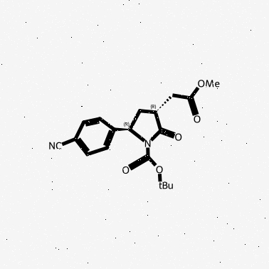 COC(=O)C[C@H]1C[C@H](c2ccc(C#N)cc2)N(C(=O)OC(C)(C)C)C1=O